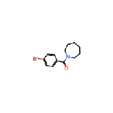 O=C(c1ccc(Br)cc1)N1CCCCCC1